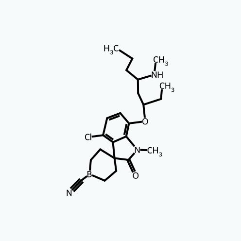 CCCC(CC(CC)Oc1ccc(Cl)c2c1N(C)C(=O)C21CCB(C#N)CC1)NC